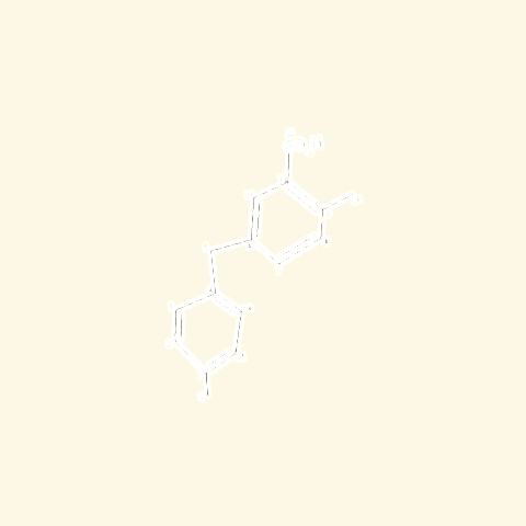 Cc1ccc(Cc2ccc(C)c(C(=O)O)c2)cc1